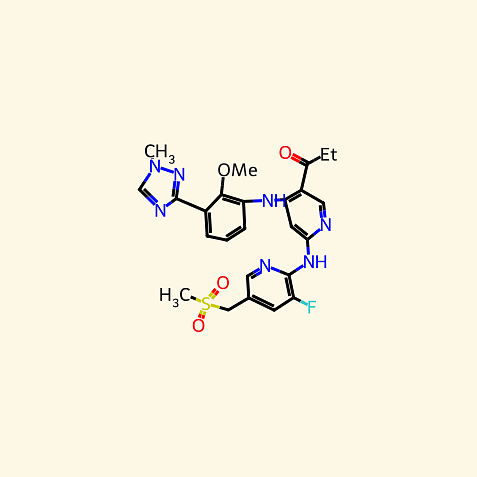 CCC(=O)c1cnc(Nc2ncc(CS(C)(=O)=O)cc2F)cc1Nc1cccc(-c2ncn(C)n2)c1OC